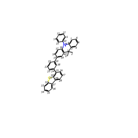 CC1(C)c2ccccc2N(c2ccccc2)c2ccc(-c3cccc(-c4cccc5c4sc4ccccc45)c3)cc21